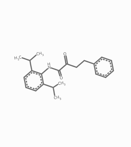 CC(C)c1cccc(C(C)C)c1NC(=O)C(=O)CCc1ccccc1